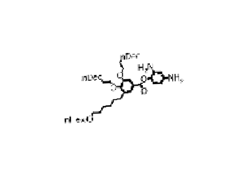 CCCCCCCCCCCCOc1cc(C(=O)Oc2ccc(N)cc2N)cc(CCCCCCOCCCCCC)c1OCCCCCCCCCCCC